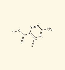 COC(=O)c1cnc(N)nc1Cl